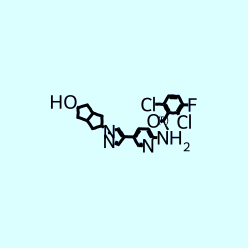 C[C@@H](Oc1cc(-c2cnn(C3CC4CC(O)CC4C3)c2)cnc1N)c1c(Cl)ccc(F)c1Cl